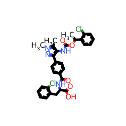 Cc1c(NC(=O)OC(C)c2ccccc2Cl)c(-c2ccc(C(=O)NC(Cc3ccccc3Cl)C(=O)O)cc2)nn1C